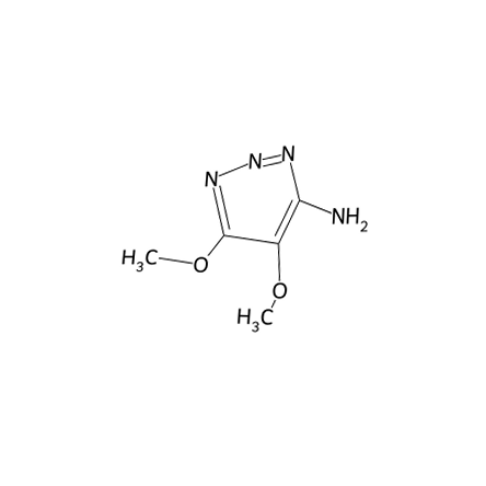 COc1nnnc(N)c1OC